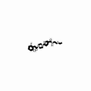 CCSCCNC(=O)c1ccc(N2CCN(C(=O)Cc3c(F)cccc3Cl)CC2)nc1